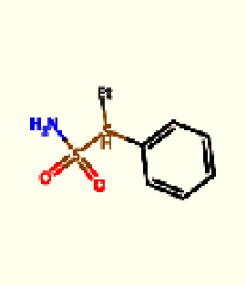 CC[SH](c1ccccc1)S(N)(=O)=O